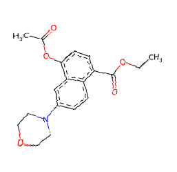 CCOC(=O)c1ccc(OC(C)=O)c2cc(N3CCOCC3)ccc12